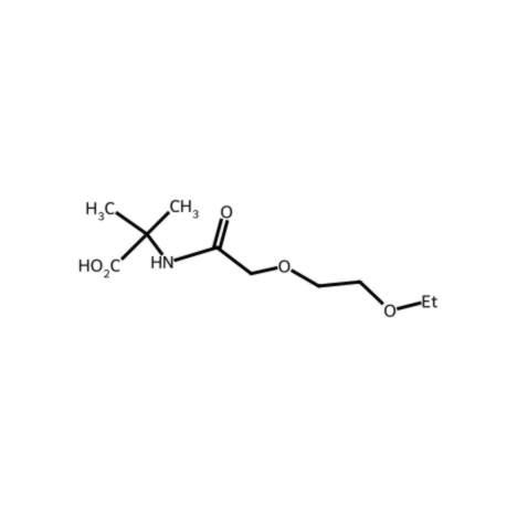 CCOCCOCC(=O)NC(C)(C)C(=O)O